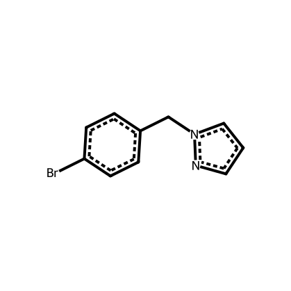 Brc1ccc(Cn2cccn2)cc1